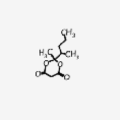 CCCC(C)C1(C)OC(=O)CC(=O)O1